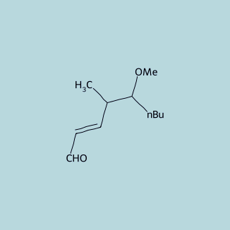 CCCCC(OC)C(C)C=CC=O